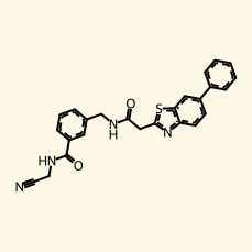 N#CCNC(=O)c1cccc(CNC(=O)Cc2nc3ccc(-c4ccccc4)cc3s2)c1